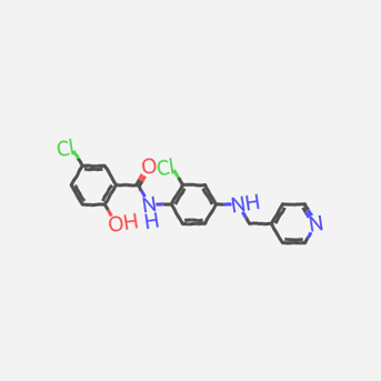 O=C(Nc1ccc(NCc2ccncc2)cc1Cl)c1cc(Cl)ccc1O